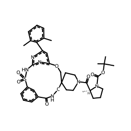 Cc1cccc(C)c1-c1cc2nc(n1)NS(=O)(=O)c1cccc(c1)C(=O)NCC1(CCN(C(=O)[C@]3(C)CCCN3C(=O)OC(C)(C)C)CC1)CO2